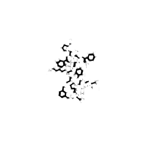 CN[C@H](CC(=O)N[C@@H](Cc1ccc(O)cc1)C(=O)N1CCC[C@@]1(C)C(=O)N[C@@H](CSCc1cccc(CSCCC(=O)N[C@@H](CCCCCN)C(=O)NCC(=O)N[C@@H](Cc2c[nH]c3ccc(F)cc23)C(=O)N[C@@H](Cc2c[nH]c3ccc(F)cc23)C(=O)N2CCC[C@H]2C=O)c1)C(N)=O)[C@@H](C)O